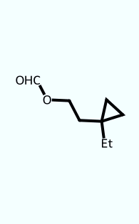 CCC1(CCOC=O)CC1